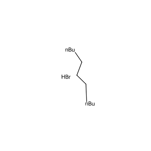 Br.CCCCCCCCCCC